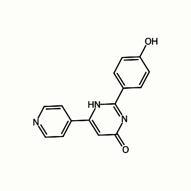 O=c1cc(-c2ccncc2)[nH]c(-c2ccc(O)cc2)n1